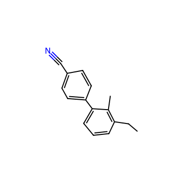 CCc1cccc(-c2ccc(C#N)cc2)c1C